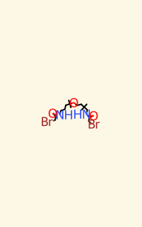 CC(C)(CCOC(C)(C)CCCNC(=O)CBr)CNC(=O)CBr